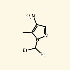 CCC(CC)n1ncc([N+](=O)[O-])c1C